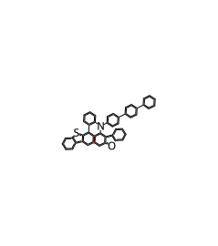 c1ccc(-c2ccc(-c3ccc(N(c4ccccc4-c4cccc5c4sc4ccccc45)c4cccc5oc6ccccc6c45)cc3)cc2)cc1